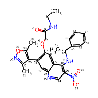 CCNC(=O)COc1cc2c(N[C@H](C)c3ccccc3)c([N+](=O)[O-])cnc2cc1-c1c(C)noc1C